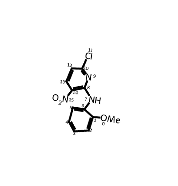 COc1ccccc1Nc1nc(Cl)ccc1[N+](=O)[O-]